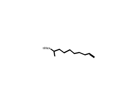 C=CCCCCCCC(C)CCCCCC